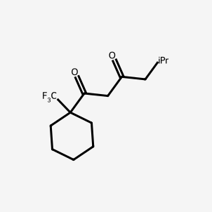 CC(C)CC(=O)CC(=O)C1(C(F)(F)F)CCCCC1